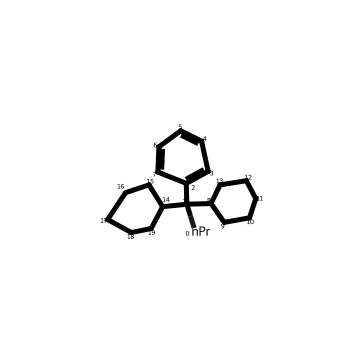 CCCC(c1ccccc1)(C1CCCCC1)C1CCCCC1